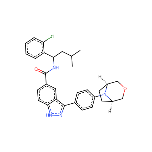 CC(C)CC(NC(=O)c1ccc2[nH]nc(-c3ccc(N4[C@@H]5CC[C@H]4COC5)cc3)c2c1)c1ccccc1Cl